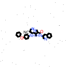 Cc1c(C(=O)Nc2cnc3ccccc3c2)cn2ncc(C#N)c(Nc3ccc(Oc4ccccc4)cc3)c12